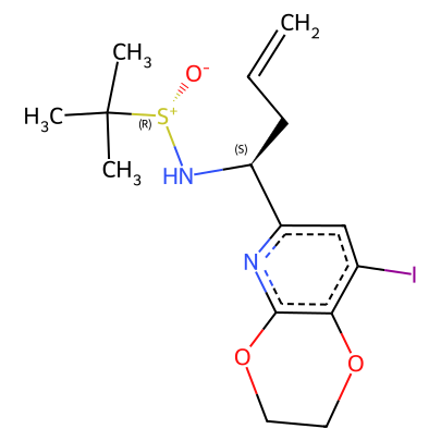 C=CC[C@H](N[S@@+]([O-])C(C)(C)C)c1cc(I)c2c(n1)OCCO2